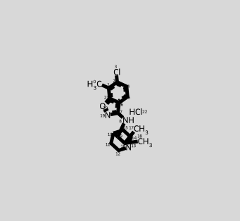 Cc1c(Cl)ccc2c(NC3C4CCN(CC4)C3(C)C)noc12.Cl